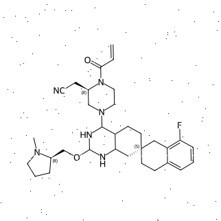 C=CC(=O)N1CCN(C2NC(OC[C@H]3CCCN3C)NC3C[C@]4(CCc5cccc(F)c5C4)CCC32)C[C@H]1CC#N